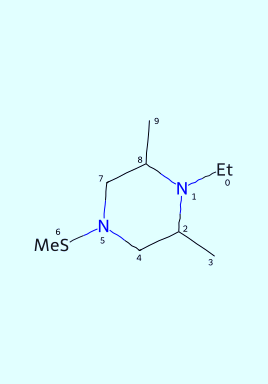 CCN1C(C)CN(SC)CC1C